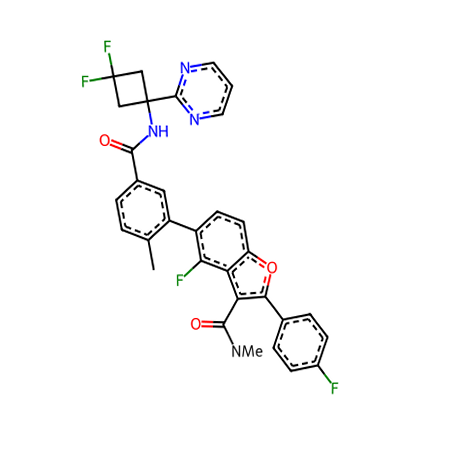 CNC(=O)c1c(-c2ccc(F)cc2)oc2ccc(-c3cc(C(=O)NC4(c5ncccn5)CC(F)(F)C4)ccc3C)c(F)c12